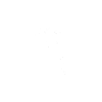 CC(C)(C)C(=O)c1ccc(C=Cc2ccc(Br)cc2)c2cccnc12